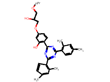 CCCOCC(O)COc1ccc(-c2nc(-c3ccc(C)cc3C)nc(-c3ccc(C)cc3C)n2)c(O)c1